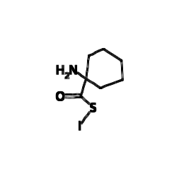 NC1(C(=O)SI)CCCCC1